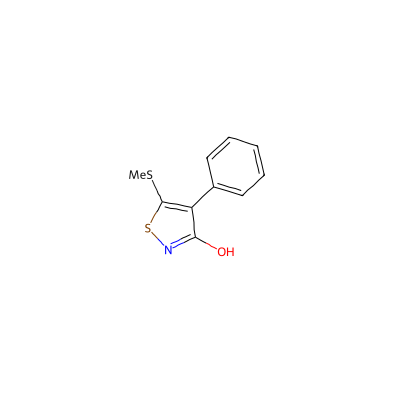 CSc1snc(O)c1-c1ccccc1